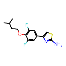 CC(C)CCOc1c(F)cc(-c2csc(N)n2)cc1F